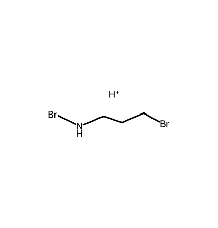 BrCCCNBr.[H+]